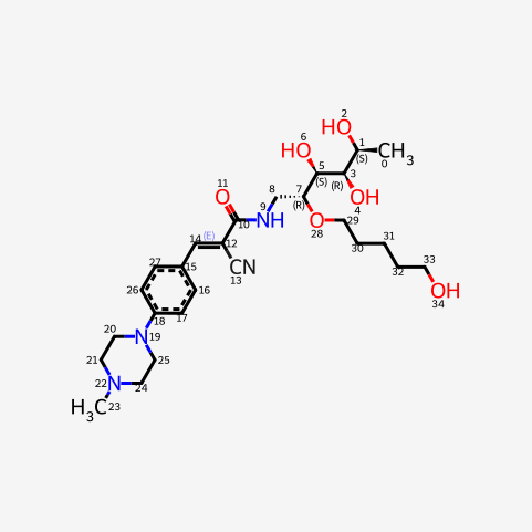 C[C@H](O)[C@@H](O)[C@H](O)[C@@H](CNC(=O)/C(C#N)=C/c1ccc(N2CCN(C)CC2)cc1)OCCCCCO